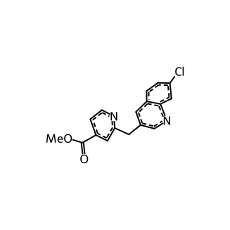 COC(=O)c1ccnc(Cc2cnc3cc(Cl)ccc3c2)c1